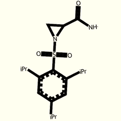 CC(C)c1cc(C(C)C)c(S(=O)(=O)N2CC2C([NH])=O)c(C(C)C)c1